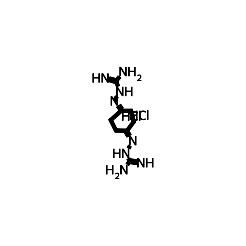 Cl.Cl.N=C(N)NN=C1CCC(=NNC(=N)N)CC1